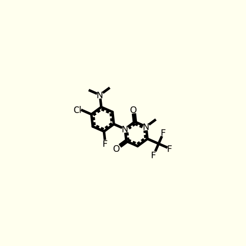 CN(C)c1cc(-n2c(=O)cc(C(F)(F)F)n(C)c2=O)c(F)cc1Cl